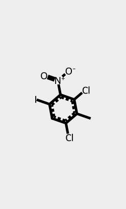 Cc1c(Cl)cc(I)c([N+](=O)[O-])c1Cl